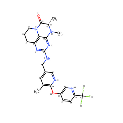 Cc1cc(CNc2nc3c4c(n2)N(C)[C@@H](C)C(=O)N4CCC3)cnc1Oc1ccc(C(F)(F)F)nc1